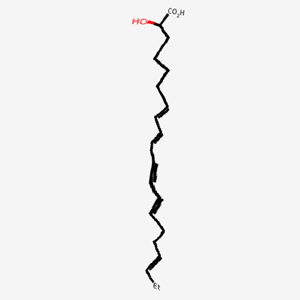 CCC=CCCC=CC=CC=CC=CCCCCC(O)C(=O)O